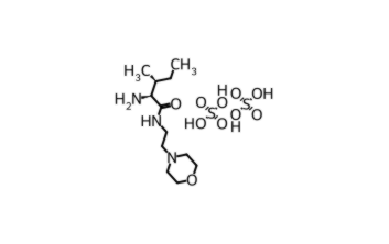 CC[C@H](C)[C@H](N)C(=O)NCCN1CCOCC1.O=S(=O)(O)O.O=S(=O)(O)O